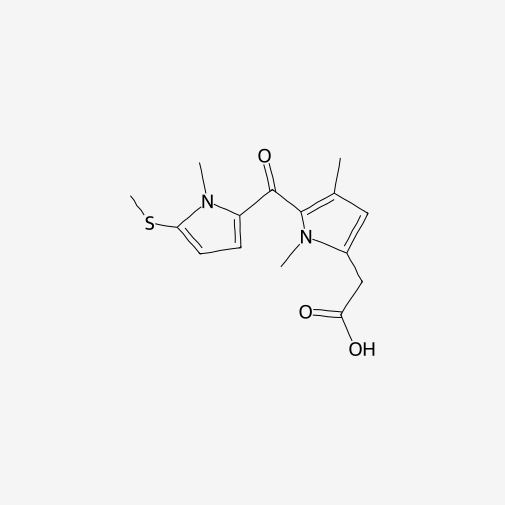 CSc1ccc(C(=O)c2c(C)cc(CC(=O)O)n2C)n1C